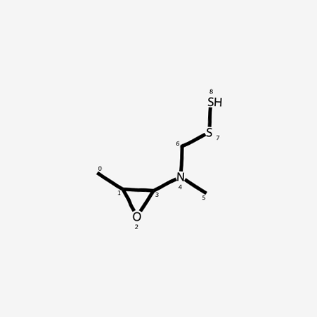 CC1OC1N(C)CSS